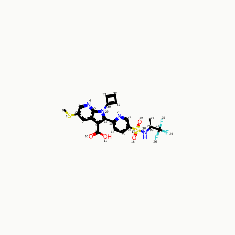 CSc1cnc2c(c1)c(C(=O)O)c(-c1ccc(S(=O)(=O)N[C@@H](C)C(F)(F)F)cn1)n2C1=CC=C1